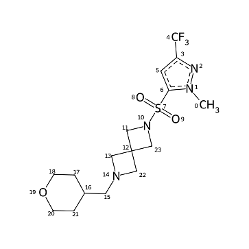 Cn1nc(C(F)(F)F)cc1S(=O)(=O)N1CC2(CN(CC3CCOCC3)C2)C1